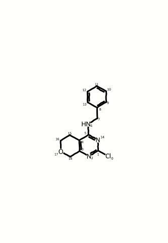 Clc1nc2c(c(NCc3ccccc3)n1)CCOC2